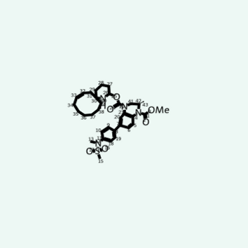 COC(=O)N1c2ccc(-c3ccc(N(C)S(C)(=O)=O)cc3)cc2N(C(=O)OC2CCCC3(C/C=C\CCCCCC3)N2)C[C@@H]1C